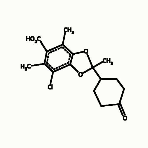 Cc1c(Cl)c2c(c(C)c1C(=O)O)OC(C)(C1CCC(=O)CC1)O2